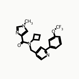 Cn1cnc(C(=O)N(Cc2ccnc(-c3cccc(OC(F)(F)F)c3)c2)C2CCC2)c1